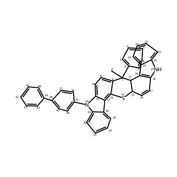 CC1(c2ccccc2)c2ccc3c(c2SC2C=Cc4[nH]c5ccccc5c4C21)c1ccccc1n3-c1ccc(-c2ccccc2)cc1